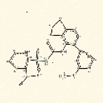 COc1cc(-c2ccc3c(c2NC(=O)NS(=O)(=O)c2nccnc2C(F)F)CCC3)ccn1